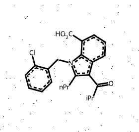 CCCc1c(C(=O)C(C)C)c2cccc(C(=O)O)c2n1Cc1ccccc1Cl